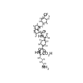 Cc1sc2ccn(Cc3ccc(C(F)(F)F)cc3)c2c1C(=O)NC1(c2ccc(C(=O)ON[C@@H](CCCCN)C(=O)O)cc2)CC1